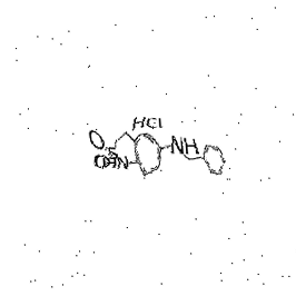 Cl.O=S1(=O)CCc2cc(NCc3ccccc3)ccc2N1